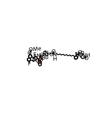 C#Cc1c(F)ccc2cc(OCOC)cc(-c3ncc4c(N5CC6CCC(C5)N6C(=O)OC(C)(C)C)nc(OC[C@@]56CCCN5[C@H](COC(=O)NCCCCCCCCCCCc5cccc7c5n(C)c(=O)n7C5CCC(=O)NC5=O)CC6)nc4c3F)c12